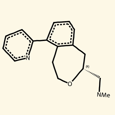 CNC[C@H]1Cc2cccc(-c3ccccn3)c2CCO1